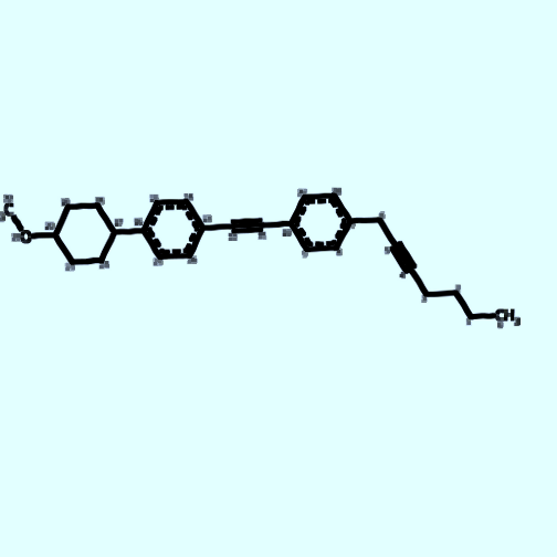 CCCCC#CCc1ccc(C#Cc2ccc(C3CCC(OC)CC3)cc2)cc1